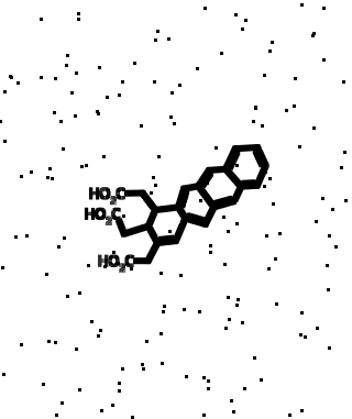 O=C(O)CC1=Cc2cc3cc4ccccc4cc3cc2C(CC(=O)O)C1CC(=O)O